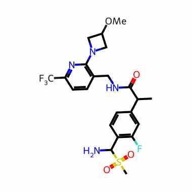 COC1CN(c2nc(C(F)(F)F)ccc2CNC(=O)C(C)c2ccc(C(N)S(C)(=O)=O)c(F)c2)C1